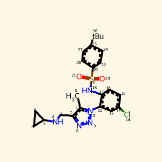 Cc1c(CNC2CC2)nnn1-c1cc(Cl)ccc1NS(=O)(=O)c1ccc(C(C)(C)C)cc1